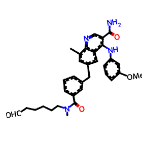 COc1cccc(Nc2c(C(N)=O)cnc3c(C)cc(Cc4cccc(C(=O)N(C)CCCCCC=O)c4)cc23)c1